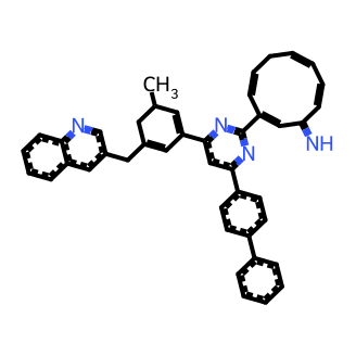 CC1C=C(c2cc(-c3ccc(-c4ccccc4)cc3)nc(C3=C/C(=N)/C=C\C=C/C/C=C\3)n2)C=C(Cc2cnc3ccccc3c2)C1